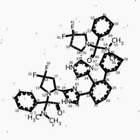 CN(C)C(C=O)(c1ccccc1)N1CC(F)(F)C[C@H]1c1nc(-c2cccc(-c3ccccc3)c2-c2c[nH]c([C@@H]3CC(F)(F)CN3C(C=O)(c3ccccc3)N(C)C)n2)c[nH]1